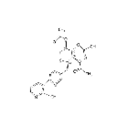 CC(=O)O[C@@H]1[C@@H](OC(C)=O)[C@@H](Oc2ccc(-c3cccnc3C)nc2)SC[C@H]1OC(C)=O